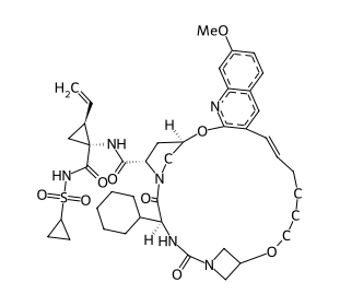 C=C[C@@H]1C[C@]1(NC(=O)[C@@H]1C[C@@H]2CN1C(=O)[C@H](C1CCCCC1)NC(=O)N1CC(C1)OCCCC/C=C/c1cc3ccc(OC)cc3nc1O2)C(=O)NS(=O)(=O)C1CC1